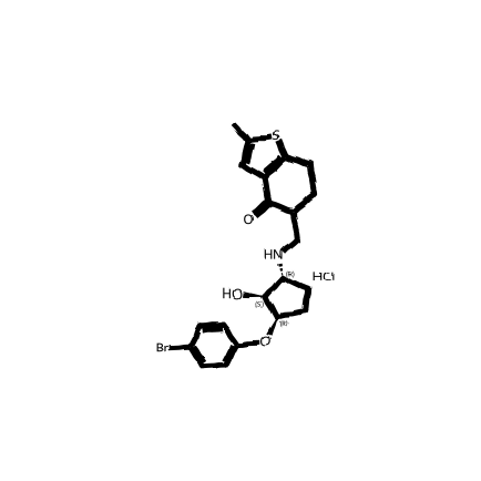 Cc1cc2c(s1)CCC(CN[C@@H]1CC[C@@H](Oc3ccc(Br)cc3)[C@H]1O)C2=O.Cl